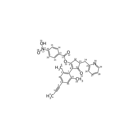 CC#Cc1cc(C)c(C2=C(OC(=O)c3ccc([N+](=O)O)cc3)CC(Cc3ccccn3)C2=O)c(C)c1